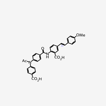 COc1ccc(/C=C/c2ccc(NC(=O)c3ccc(N(C(C)=O)c4ccc(C(=O)O)cc4)cc3)c(C(=O)O)c2)cc1